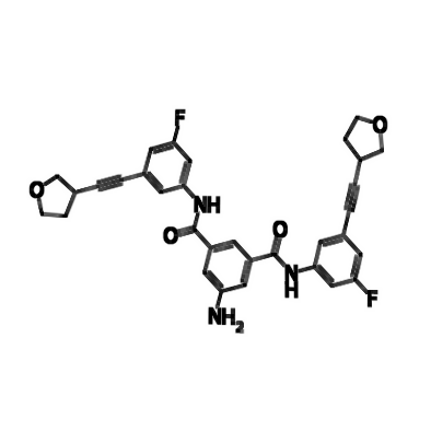 Nc1cc(C(=O)Nc2cc(F)cc(C#CC3CCOC3)c2)cc(C(=O)Nc2cc(F)cc(C#CC3CCOC3)c2)c1